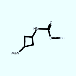 CNC1CC(NC(=O)OC(C)(C)C)C1